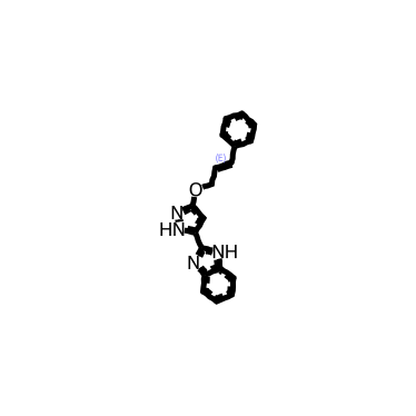 C(=C\c1ccccc1)/COc1cc(-c2nc3ccccc3[nH]2)[nH]n1